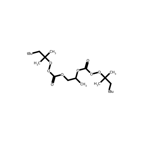 CC(COC(=O)OOC(C)(C)CC(C)(C)C)OC(=O)OOC(C)(C)CC(C)(C)C